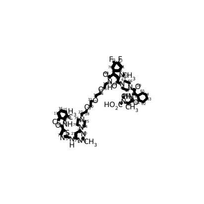 Cc1nc(Nc2ncc(C(=O)Nc3c(C)cccc3Cl)s2)cc(N2CCN(CCOCCOCCOCCNC(=O)c3c(C(=O)N4CCN(C(=O)C(NC(=O)C(C)N(C)C(=O)O)C5CCCCC5)CC4)n(C)c4cc(F)c(F)cc34)CC2)n1